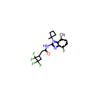 CC1(n2c(NC(=O)CC3CC(F)(F)C3(F)F)nc3c(F)ccc(C#N)c32)CCC1